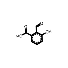 O=[C]c1c(O)cccc1C(=O)O